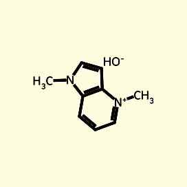 Cn1ccc2c1ccc[n+]2C.[OH-]